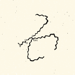 CCCCC/C=C\C/C=C\CCCCCCCCOC(CCOC(=O)CCN(C)C)C(O)(CCCCCCCC/C=C\C/C=C\CCCCC)CCCCCCCC/C=C\C/C=C\CCCCC